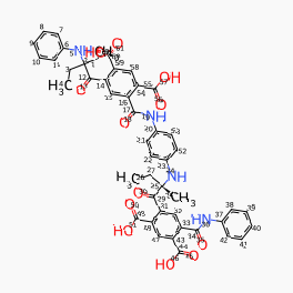 CCC(CC)(Nc1ccccc1)C(=O)c1cc(C(=O)Nc2ccc(N[C@@](C)(CC)C(=O)c3cc(C(=O)Nc4ccccc4)c(C(=O)O)cc3C(=O)O)cc2)c(C(=O)O)cc1C(=O)O